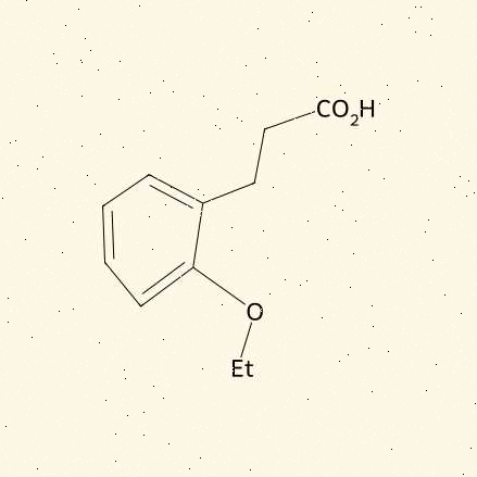 CCOc1ccccc1CCC(=O)O